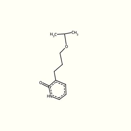 CC(C)OCCCc1ccc[nH]c1=O